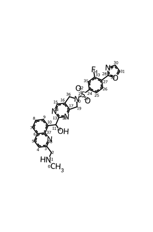 CNCc1ccc2cccc(C(O)c3ncc4c(n3)CN(S(=O)(=O)c3ccc(-c5ncco5)c(F)c3)C4)c2n1